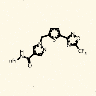 CCCNC(=O)c1cnn(Cc2ccc(-c3noc(C(F)(F)F)n3)s2)c1